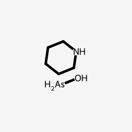 C1CCNCC1.O[AsH2]